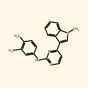 Cc1ccc(Nc2nccc(-c3cn(C)c4ccccc34)n2)cc1N